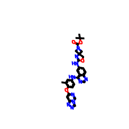 Cc1cc(Nc2ncnc3ccc(NC4=NC5(CO4)CN(C(=O)OC(C)(C)C)C5)cc23)ccc1Oc1cc2nncn2cn1